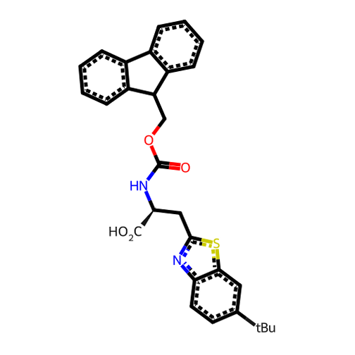 CC(C)(C)c1ccc2nc(C[C@H](NC(=O)OCC3c4ccccc4-c4ccccc43)C(=O)O)sc2c1